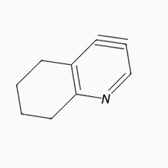 c1cnc2c(c#1)CCCC2